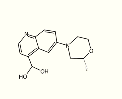 C[C@@H]1CN(c2ccc3nccc(C(O)O)c3c2)CCO1